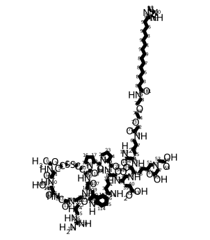 CC(=O)N[C@H]1CCSSCC[C@@H](C(=O)N2CCC[C@H]2C(=O)N2CCC[C@H]2C(=O)N[C@@H](CCCCN)C(=O)N[C@@H](CCC(=O)O)C(=O)N[C@@H](CCCCN(CC(=O)O)CC(=O)O)C(=O)N[C@@H](CCCCNC(=O)COCCOCCNC(=O)CCCCCCCCCCCCCCCc2nnn[nH]2)C(N)=O)NC(=O)[C@H](Cc2c[nH]c3ccccc23)NC(=O)[C@H](CCCNC(=N)N)NC(=O)CNC(=O)[C@H](CO)NC1=O